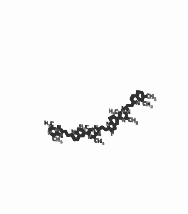 Cc1ccc2ccc(CCc3nc4c(C)nc(-c5ccc6nc(CCc7nc8c(C)nc(-c9ccc%10nc(CCc%11nc%12c(C)ncc(C)n%12n%11)ccc%10c9)c(C)n8n7)c(F)cc6c5)c(C)n4n3)nc2c1C